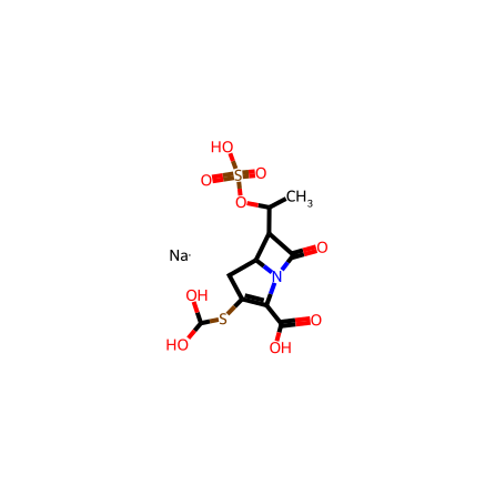 CC(OS(=O)(=O)O)C1C(=O)N2C(C(=O)O)=C(SC(O)O)CC12.[Na]